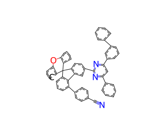 N#Cc1ccc(-c2cccc3c2-c2cc(-c4nc(-c5ccccc5)cc(-c5cccc(-c6ccccc6)c5)n4)ccc2C32c3ccccc3Oc3ccccc32)cc1